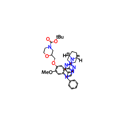 COc1cc2ncnc(N3C[C@H]4CC[C@@H](C3)N4c3ncc(Cc4ccccc4)cn3)c2cc1OCC1CN(C(=O)OC(C)(C)C)CCO1